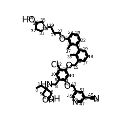 CCC(CO)(CO)NCc1cc(Cl)c(OCc2cccc(-c3cccc(OCCCN4CC[C@@H](O)C4)c3C)c2C)cc1OCc1cncc(C#N)c1